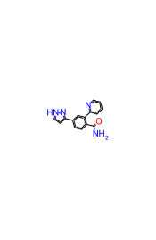 NC(=O)c1ccc(-c2cc[nH]n2)cc1-c1ccccn1